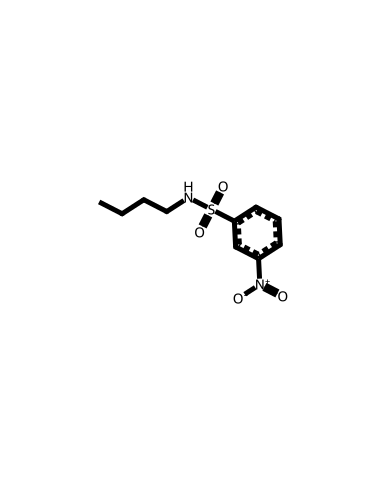 CCCCNS(=O)(=O)c1cccc([N+](=O)[O-])c1